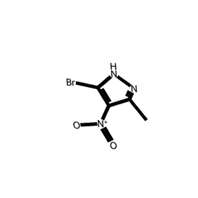 Cc1n[nH]c(Br)c1[N+](=O)[O-]